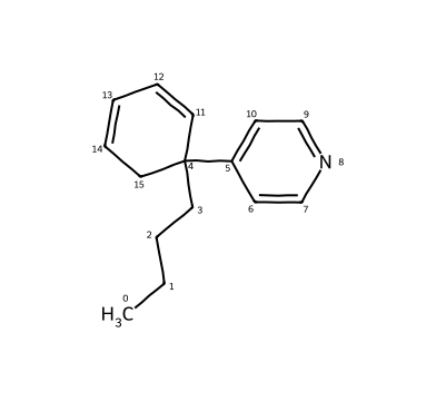 CCCCC1(c2ccncc2)C=CC=CC1